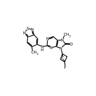 Cc1cc2nsnc2cc1Nc1ncc2c(n1)n(C13CC(F)(C1)C3)c(=O)n2C